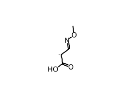 CON=C[CH]C(=O)O